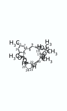 Cc1cc(C)c2c(c1)/C=C/C[C@@H]1OC(C)(C)O[C@@H]1C(C)/C=C\[C@@H]1CCC[C@@H]1OC2=O